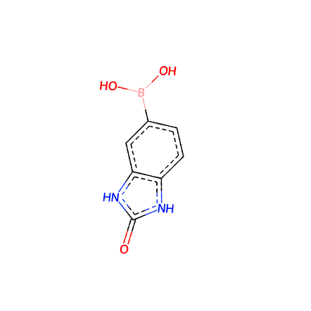 O=c1[nH]c2ccc(B(O)O)cc2[nH]1